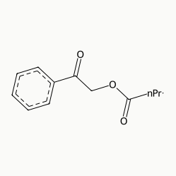 CC[CH]C(=O)OCC(=O)c1ccccc1